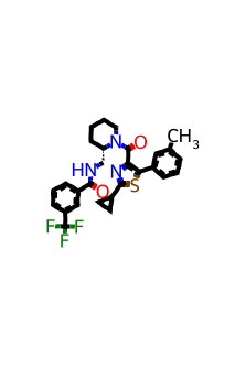 Cc1cccc(-c2sc(C3CC3)nc2C(=O)N2CCCC[C@H]2CNC(=O)c2cccc(C(F)(F)F)c2)c1